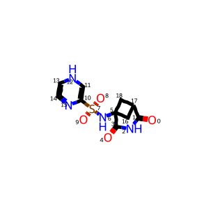 O=C1NC(=O)C2(NS(=O)(=O)C3=CNC=C=N3)CC1C2